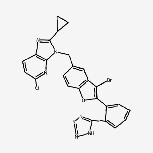 Clc1ccc2nc(C3CC3)n(Cc3ccc4oc(-c5ccccc5-c5nnn[nH]5)c(Br)c4c3)c2n1